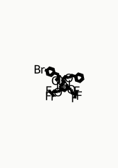 O=C(Cc1ccc(Br)cc1)N(COCc1ccccc1)c1nc(OCC(F)(F)F)cc(OCC(F)(F)F)n1